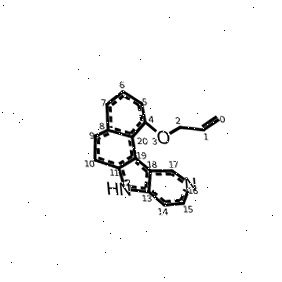 C=CCOc1cccc2ccc3[nH]c4ccncc4c3c12